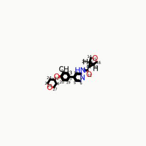 Cc1cc(-c2ccnc(NC(=O)[C@H]3[C@@H]4COC[C@@H]43)c2)ccc1OC1CCOCC1